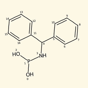 OP(O)NC(c1ccccc1)c1ccccc1